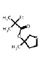 CCC(C)(C)C(=O)OC1(C)CCSC1